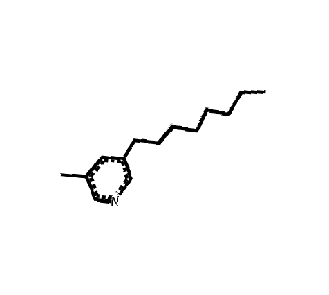 CCCCCCCCc1cncc(C)c1